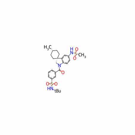 CC(C)(C)NS(=O)(=O)c1cccc(C(=O)N2C[C@]3(CC[C@@H](C)CC3)c3cc(NS(C)(=O)=O)ccc32)c1